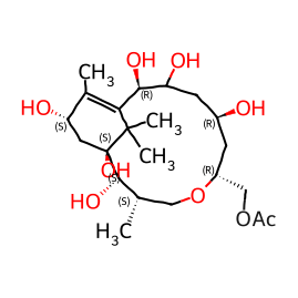 CC(=O)OC[C@H]1C[C@H](O)CC(O)[C@H](O)C2=C(C)[C@@H](O)C[C@@](O)([C@@H](O)[C@@H](C)CO1)C2(C)C